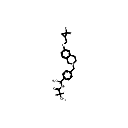 C[C@H](NC(=O)C(C)(F)F)c1ccc(CN2CCc3cc(OCC4CC4(F)F)ccc3C2)cc1